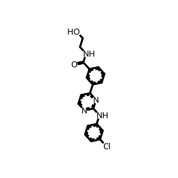 O=C(NCCO)c1cccc(-c2ccnc(Nc3cccc(Cl)c3)n2)c1